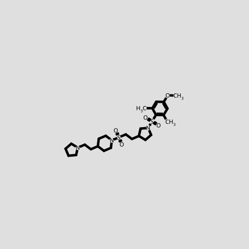 COc1cc(C)c(S(=O)(=O)N2CCC(CCS(=O)(=O)N3CCC(CCN4CCCC4)CC3)C2)c(C)c1